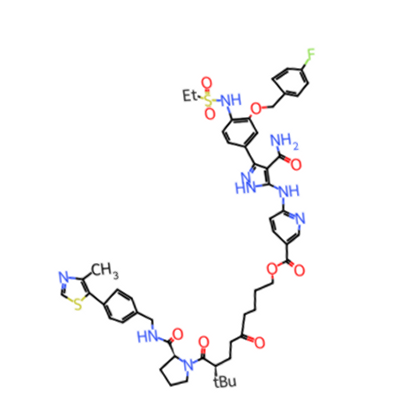 CCS(=O)(=O)Nc1ccc(-c2n[nH]c(Nc3ccc(C(=O)OCCCCC(=O)CC[C@H](C(=O)N4CCC[C@H]4C(=O)NCc4ccc(-c5scnc5C)cc4)C(C)(C)C)cn3)c2C(N)=O)cc1OCc1ccc(F)cc1